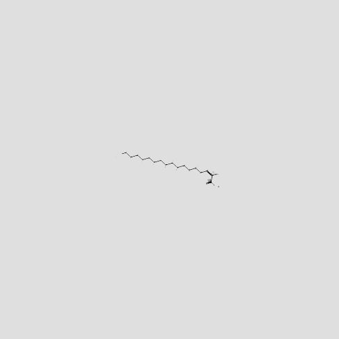 CCCCCCCCCCCCCCCC=C(C)C(=O)O